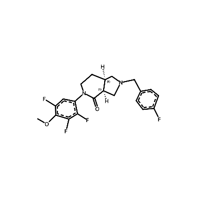 COc1c(F)cc(N2CC[C@H]3CN(Cc4ccc(F)cc4)C[C@H]3C2=O)c(F)c1F